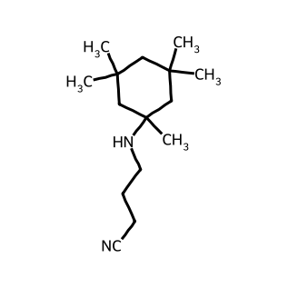 CC1(C)CC(C)(C)CC(C)(NCCCC#N)C1